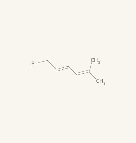 CC(C)=CC=CCC(C)C